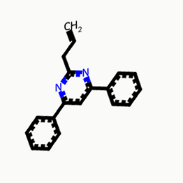 C=CCc1nc(-c2ccccc2)cc(-c2ccccc2)n1